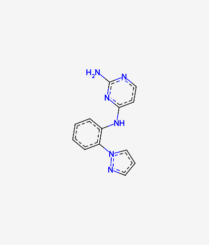 Nc1nccc(Nc2ccccc2-n2cccn2)n1